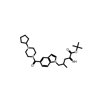 CC(CC(=N)C(=O)OC(C)(C)C)Cn1ccc2cc(C(=O)N3CCN(C4CCCC4)CC3)ccc21